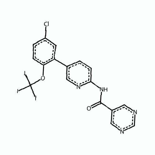 O=C(Nc1ccc(-c2cc(Cl)ccc2OC(I)(I)I)cn1)c1cncnc1